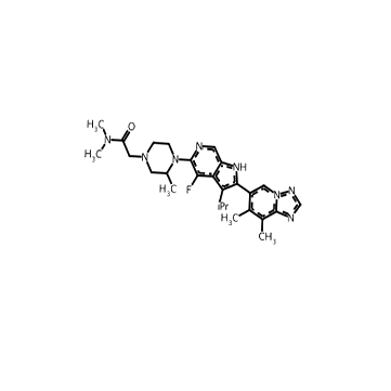 Cc1c(-c2[nH]c3cnc(N4CCN(CC(=O)N(C)C)CC4C)c(F)c3c2C(C)C)cn2ncnc2c1C